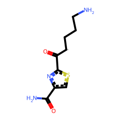 NCCC[CH]C(=O)c1nc(C(N)=O)cs1